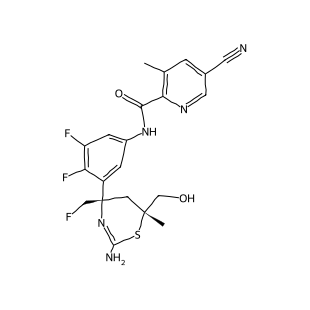 Cc1cc(C#N)cnc1C(=O)Nc1cc(F)c(F)c([C@]2(CF)C[C@](C)(CO)SC(N)=N2)c1